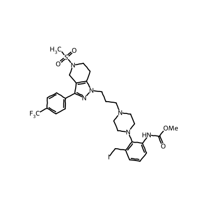 COC(=O)Nc1cccc(CI)c1N1CCN(CCCn2nc(-c3ccc(C(F)(F)F)cc3)c3c2CCN(S(C)(=O)=O)C3)CC1